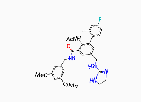 COc1cc(CNC(=O)c2cc(CNC3=NCCN3)cc(-c3ccc(F)cc3C)c2NC(C)=O)cc(OC)c1